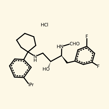 CC(C)c1cccc(C2(NC[C@@H](O)[C@H](Cc3cc(F)cc(F)c3)NC=O)CCCCC2)c1.Cl